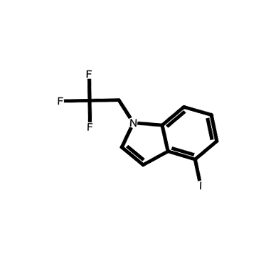 FC(F)(F)Cn1ccc2c(I)cccc21